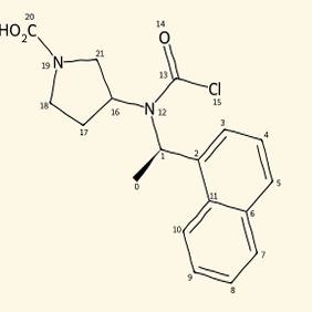 C[C@H](c1cccc2ccccc12)N(C(=O)Cl)C1CCN(C(=O)O)C1